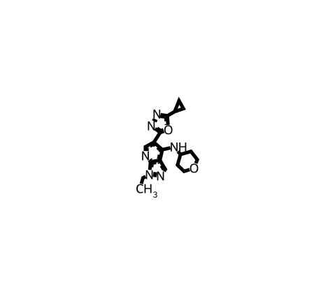 CCn1ncc2c(NC3CCOCC3)c(-c3nnc(C4CC4)o3)cnc21